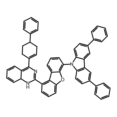 C1=CC2=C(C3=CCC(c4ccccc4)CC3)N=C(c3cccc4oc5c(-n6c7ccc(-c8ccccc8)cc7c7cc(-c8ccccc8)ccc76)cccc5c34)NC2C=C1